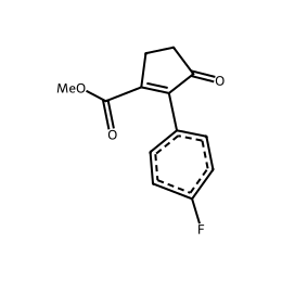 COC(=O)C1=C(c2ccc(F)cc2)C(=O)CC1